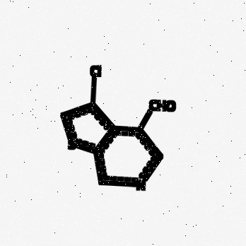 O=Cc1cncc2scc(Cl)c12